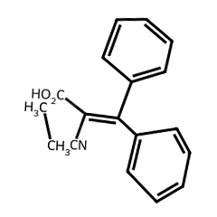 CC.N#CC(C(=O)O)=C(c1ccccc1)c1ccccc1